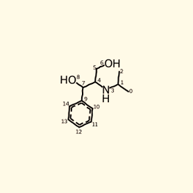 CC(C)NC(CO)C(O)c1ccccc1